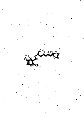 CCN(CCCCCC1(C)OCCO1)CCc1cc(OC)ccc1C